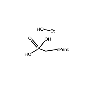 CCCCCCP(=O)(O)O.CCO